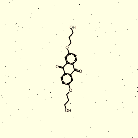 O=C1c2ccc(OCCCO)cc2C(=O)c2ccc(OCCCO)cc21